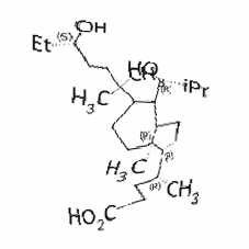 CC[C@H](O)CCC(C)(C)C1CC[C@@]2(C)C(CC[C@@H]2[C@H](C)CCC(=O)O)C1[C@H](O)C(C)C